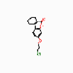 O=c1oc2cc(OCCCCl)ccc2c2c1CCCC2